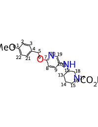 COc1ccc(COc2ccc(N[C@@H]3CCCN(C(=O)O)C3)cn2)cc1